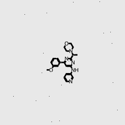 COc1cccc(-c2cc(Nc3cccnc3)nc(C(C)N3CCOCC3)n2)c1